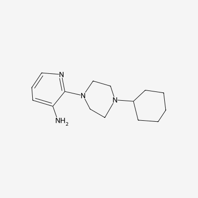 Nc1cccnc1N1CCN(C2CCCCC2)CC1